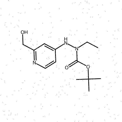 CCN(Nc1ccnc(CO)c1)C(=O)OC(C)(C)C